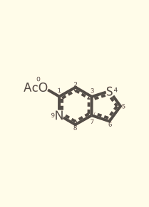 CC(=O)Oc1cc2sccc2cn1